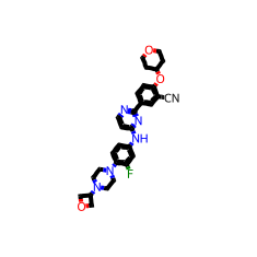 N#Cc1cc(-c2nccc(Nc3ccc(N4CCN(C5COC5)CC4)c(F)c3)n2)ccc1OC1CCOCC1